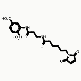 O=C(CCCCCN1C(=O)C=CC1=O)NCCC(=O)Nc1cc(C(=O)O)ccc1C(=O)O